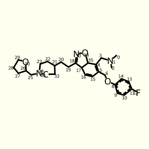 CN(C)CC1=C(COc2ccc(F)cc2)C=CC2C(CCC3CCN(CC4CCCO4)CC3)=NOC12